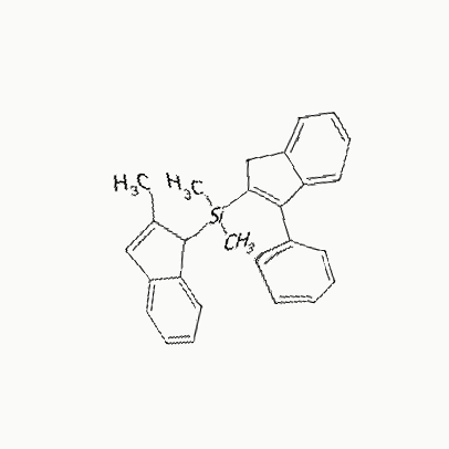 CC1=Cc2ccccc2C1[Si](C)(C)C1=C(c2ccccc2)c2ccccc2C1